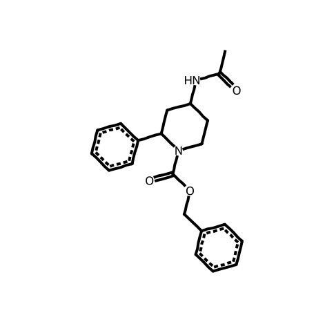 CC(=O)NC1CCN(C(=O)OCc2ccccc2)C(c2ccccc2)C1